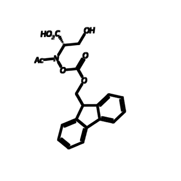 CC(=O)N(OC(=O)OCC1c2ccccc2-c2ccccc21)[C@@H](CO)C(=O)O